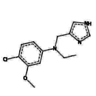 CCN(Cc1c[nH]cn1)c1ccc(Cl)c(OC)c1